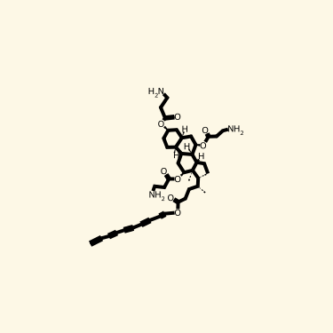 C#CC#CC#CC#CC#COC(=O)CC[C@@H](C)[C@H]1CC[C@H]2[C@@H]3[C@H](OC(=O)CCN)C[C@@H]4C[C@H](OC(=O)CCN)CC[C@]4(C)[C@H]3C[C@H](OC(=O)CCN)[C@]12C